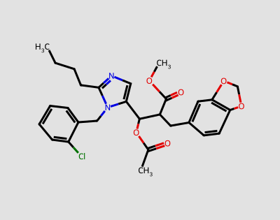 CCCCc1ncc(C(OC(C)=O)C(Cc2ccc3c(c2)OCO3)C(=O)OC)n1Cc1ccccc1Cl